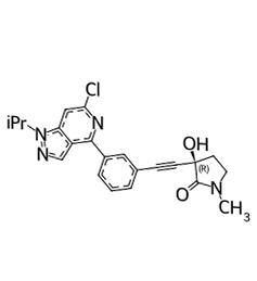 CC(C)n1ncc2c(-c3cccc(C#C[C@]4(O)CCN(C)C4=O)c3)nc(Cl)cc21